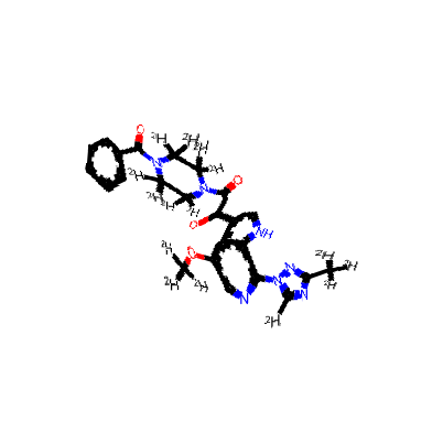 [2H]c1nc(C([2H])([2H])[2H])nn1-c1ncc(OC([2H])([2H])[2H])c2c(C(=O)C(=O)N3C([2H])([2H])C([2H])([2H])N(C(=O)c4ccccc4)C([2H])([2H])C3([2H])[2H])c[nH]c12